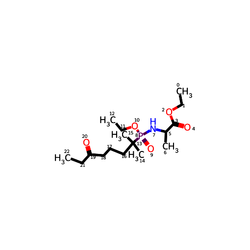 CCOC(=O)C(C)NP(=O)(OCC)C(C)(C)CCCC(=O)CC